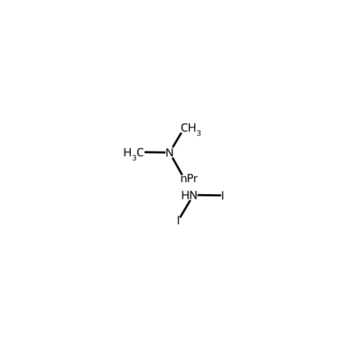 CCCN(C)C.INI